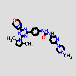 C[C@@H]1CC[C@H](C)N1c1nc(-c2ccc(NC(=O)Nc3ccc(N4CCN(C)CC4)nc3)cc2)nc(N2C3CCC2COC3)n1